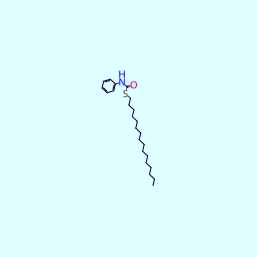 CCCCCCCCCCCCCCCCSC(=O)Nc1ccccc1